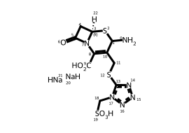 NC1S[C@@H]2CC(=O)N2C(C(=O)O)=C1CSc1nnnn1CS(=O)(=O)O.[NaH].[NaH]